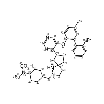 CC(C)c1ccccc1-c1cc(F)ccc1Oc1cncnc1C1CCC2(CCN(CC3CCC(N(C(=O)O)C(C)(C)C)CC3)N2)C1